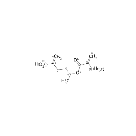 C=C(CCC(C)OC(=O)C(=C)CCCCCCC)C(=O)O